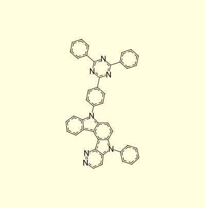 c1ccc(-c2nc(-c3ccccc3)nc(-c3ccc(-n4c5ccccc5c5c6c7nnccc7n(-c7ccccc7)c6ccc54)cc3)n2)cc1